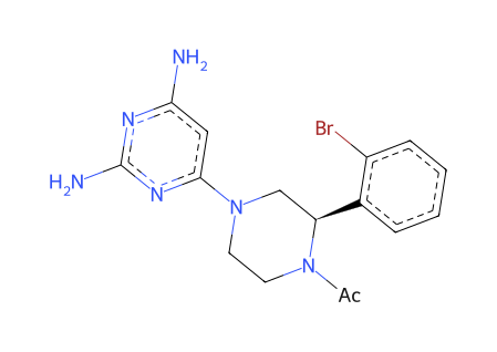 CC(=O)N1CCN(c2cc(N)nc(N)n2)C[C@H]1c1ccccc1Br